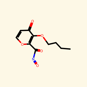 CCCCOc1c(C(=O)N=O)occc1=O